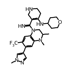 CC1CN(C(=N)C2=C(NC3CCOCC3)CCNC2)c2cc(C(F)(F)F)c(-c3cnn(C)c3)cc2N1C